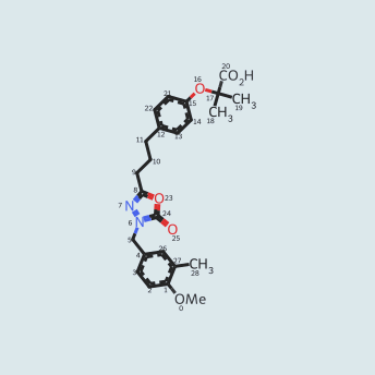 COc1ccc(Cn2nc(CCCc3ccc(OC(C)(C)C(=O)O)cc3)oc2=O)cc1C